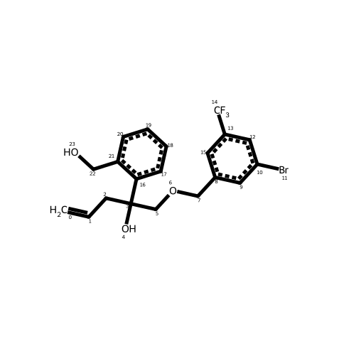 C=CCC(O)(COCc1cc(Br)cc(C(F)(F)F)c1)c1ccccc1CO